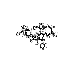 NC(=O)c1ccc(NC(=O)C(Cc2ccccc2)n2cnc(-c3cc(Cl)ccc3-n3cc(Cl)nn3)cc2=O)nc1